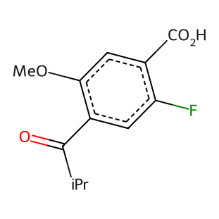 COc1cc(C(=O)O)c(F)cc1C(=O)C(C)C